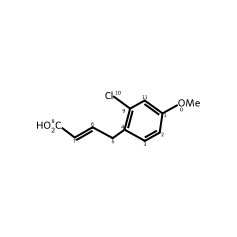 COc1ccc(CC=CC(=O)O)c(Cl)c1